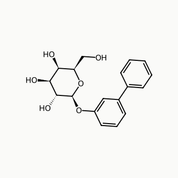 OC[C@H]1O[C@@H](Oc2cccc(-c3ccccc3)c2)[C@H](O)[C@@H](O)[C@H]1O